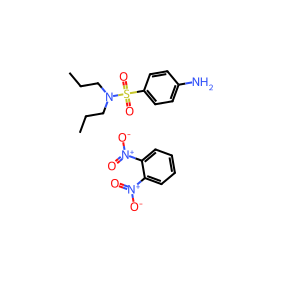 CCCN(CCC)S(=O)(=O)c1ccc(N)cc1.O=[N+]([O-])c1ccccc1[N+](=O)[O-]